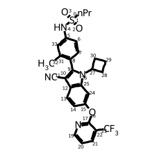 CCCS(=O)(=O)Nc1ccc(-c2c(C#N)c3ccc(Oc4ncccc4C(F)(F)F)cc3n2C2CCC2)c(C)c1